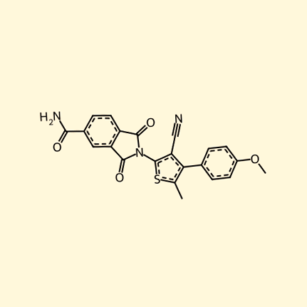 COc1ccc(-c2c(C)sc(N3C(=O)c4ccc(C(N)=O)cc4C3=O)c2C#N)cc1